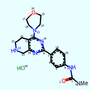 CNC(=O)Nc1ccc(-c2nc3c(c(N4CCOCC4)n2)CCNC3)cc1.Cl